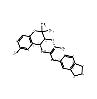 CC1(C)Oc2ccc(C#N)cc2[C@H](NC(=NC#N)Nc2ccc3c(c2)CCC3)C1O